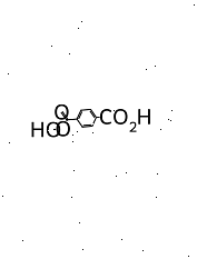 O=C(O)c1ccc(C(=O)OO)cc1